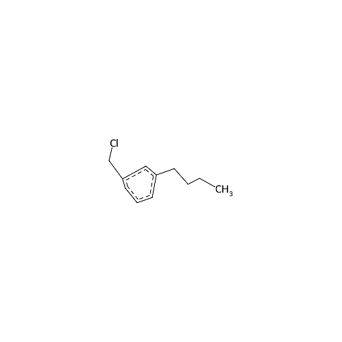 CCCCc1cccc(CCl)c1